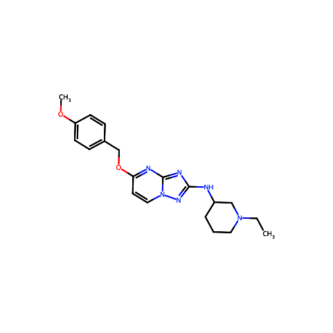 CCN1CCCC(Nc2nc3nc(OCc4ccc(OC)cc4)ccn3n2)C1